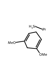 CC(C)[SiH3].COC1=CCC=C(OC)C1